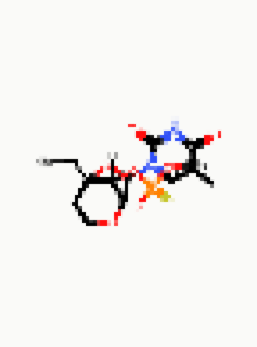 Cc1cn([C@@H]2O[C@@]3(CC(C)(C)C)CCOC2[C@H]3OP(O)(=S)OC(C)(C)C)c(=O)[nH]c1=O